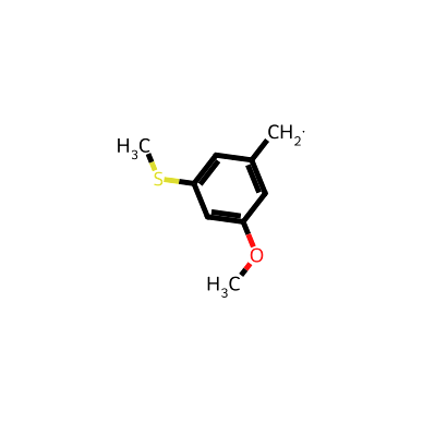 [CH2]c1cc(OC)cc(SC)c1